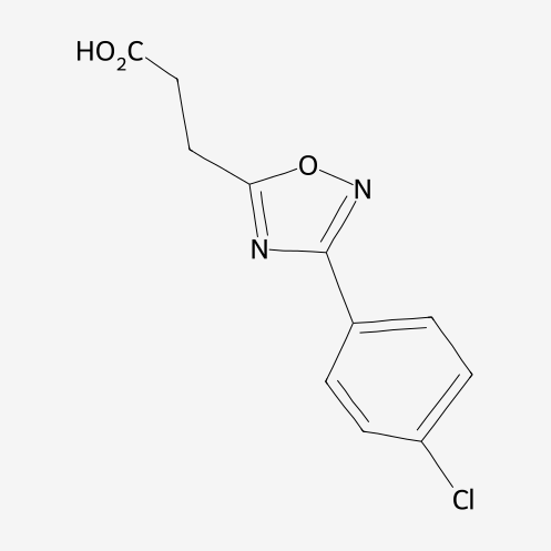 O=C(O)CCc1nc(-c2ccc(Cl)cc2)no1